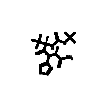 C[C@@H](C(N)=O)N(C(=O)[C@](C)(NC(=O)OC(C)(C)C)[Si](C)(C)C)c1cscn1